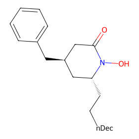 CCCCCCCCCCCC[C@@H]1C[C@@H](Cc2ccccc2)CC(=O)N1O